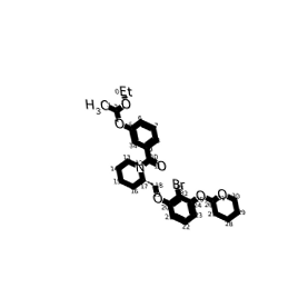 CCOC(C)Oc1cccc(C(=O)N2CCCC[C@H]2COc2cccc(OC3CCCCO3)c2Br)c1